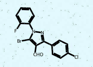 O=Cc1c(-c2ccc(Cl)cc2)nn(-c2ccccc2F)c1Br